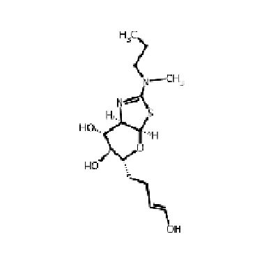 CCCN(C)C1=N[C@@H]2[C@@H](O)[C@H](O)[C@@H](CCC=CO)O[C@@H]2S1